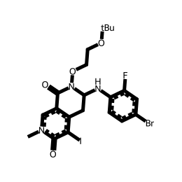 Cn1cc2c(c(I)c1=O)CC(Nc1ccc(Br)cc1F)N(OCCOC(C)(C)C)C2=O